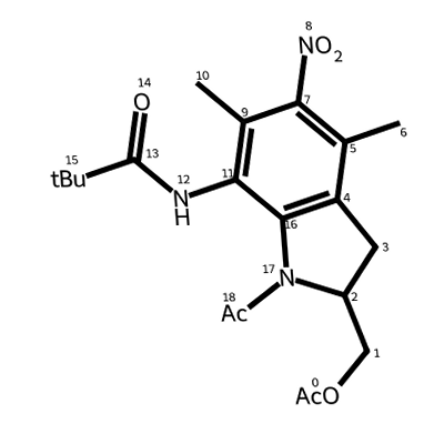 CC(=O)OCC1Cc2c(C)c([N+](=O)[O-])c(C)c(NC(=O)C(C)(C)C)c2N1C(C)=O